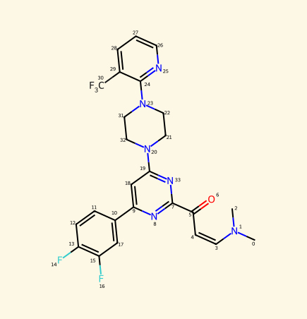 CN(C)/C=C\C(=O)c1nc(-c2ccc(F)c(F)c2)cc(N2CCN(c3ncccc3C(F)(F)F)CC2)n1